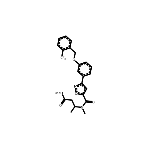 COC(=O)CC(C)N(C)C(=O)c1cc(-c2cccc(OCc3ccccc3C(F)(F)F)c2)no1